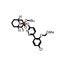 COCOc1cc(Cl)ccc1-c1ccc(O[C@@H]2C[C@H]3CCC[C@@H]([C@@H]2F)N3C(=O)OC(C)(C)C)nn1